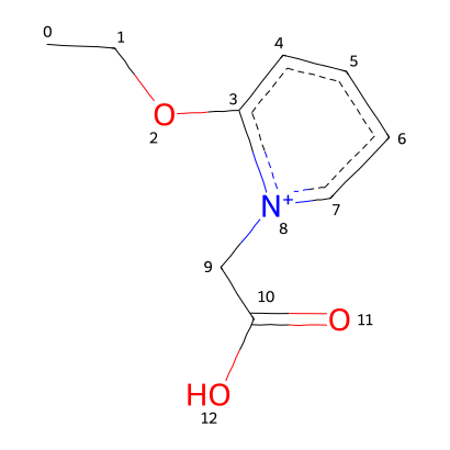 CCOc1cccc[n+]1CC(=O)O